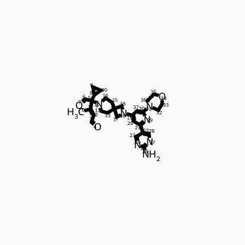 CC(=CC=O)C(C=O)(C1CC1)N1CCC2(CC1)CN(c1cc(-c3cnc(N)nc3)nc(N3CCOCC3)c1)C2